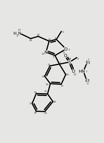 CCNCC.Cc1oc(C2(S(C)(=O)=O)C=CC(c3ccccc3)=CC2)nc1CCN